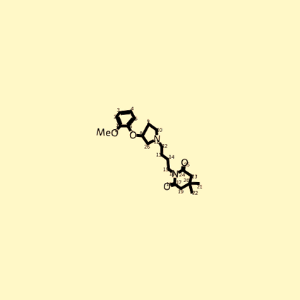 COc1ccccc1OC1CCN(CCCCN2C(=O)CC(C)(C)CC2=O)C1